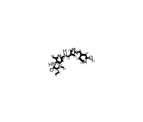 CC[C@H]1C(=O)Nc2c(cc(NCc3cnn(Cc4ccnc(OC)c4)c3)nc2C)N1C